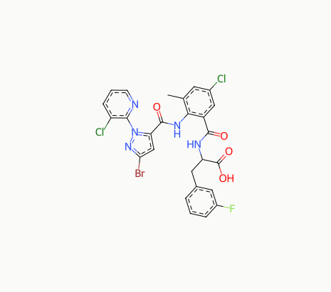 Cc1cc(Cl)cc(C(=O)NC(Cc2cccc(F)c2)C(=O)O)c1NC(=O)c1cc(Br)nn1-c1ncccc1Cl